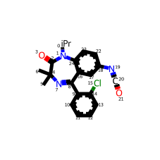 CC(C)N1C(=O)C(C)(C)N=C(c2ccccc2Cl)c2cc(N=C=O)ccc21